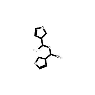 CC(OC(C)C1C=COC1)C1C=COC1